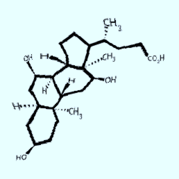 C[C@H](CCC(=O)O)C1CC[C@H]2[C@@H]3[C@H](O)C[C@@H]4C[C@H](O)CC[C@]4(C)[C@H]3C[C@H](O)[C@]12C